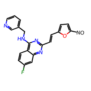 O=Nc1ccc(/C=C/c2nc(NCc3cccnc3)c3ccc(F)cc3n2)o1